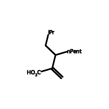 C=C(C(=O)O)C(CCCCC)CC(C)C